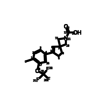 Cc1ccc(C2=CC3(CC2)CN(C(=O)O)C3)cc1OC(F)(F)F